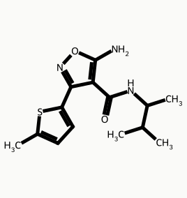 Cc1ccc(-c2noc(N)c2C(=O)NC(C)C(C)C)s1